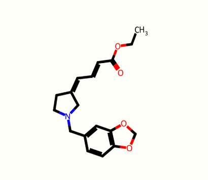 CCOC(=O)/C=C/C=C1CCN(Cc2ccc3c(c2)OCO3)C1